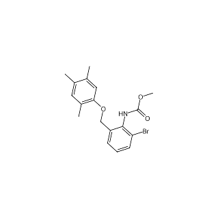 COC(=O)Nc1c(Br)cccc1COc1cc(C)c(C)cc1C